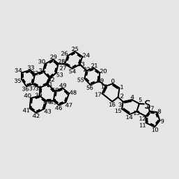 C1=CC(C2=CC3Sc4ccccc4C3C=C2)CC=C1c1ccc(-c2cccc(-c3ccc4c5ccccc5c5c6ccccc6c6ccccc6c5c4c3)c2)cc1